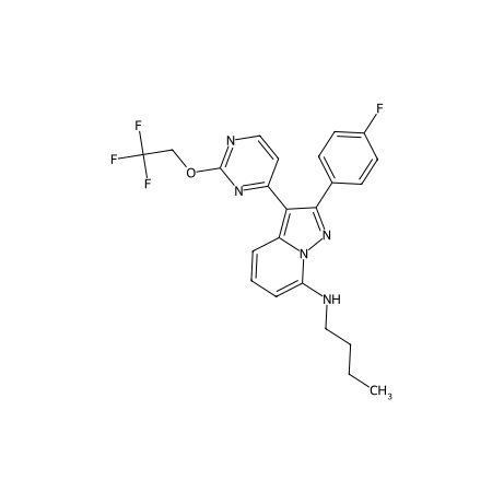 CCCCNc1cccc2c(-c3ccnc(OCC(F)(F)F)n3)c(-c3ccc(F)cc3)nn12